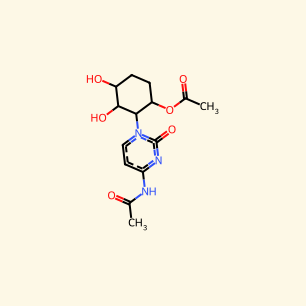 CC(=O)Nc1ccn(C2C(OC(C)=O)CCC(O)C2O)c(=O)n1